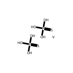 OP(O)(O)=S.OP(O)(O)=S.[V]